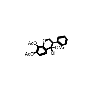 CO[C@]1(O)c2ccc(OC(C)=O)c(OC(C)=O)c2OC[C@H]1c1ccccc1